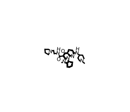 CN1CCC(Nc2ccc3c(=O)c(C(=O)NCCN4CCCC4)c4n(C)c5ccccc5n4c3n2)CC1